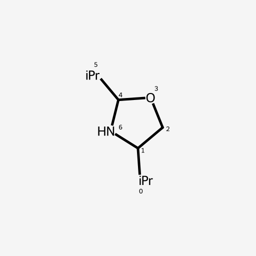 CC(C)C1COC(C(C)C)N1